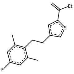 C=C(CC)c1cc(CCc2c(C)cc(F)cc2C)cs1